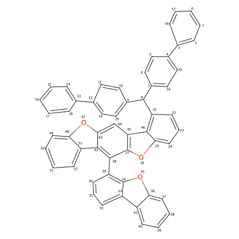 c1ccc(-c2ccc(C(c3ccc(-c4ccccc4)cc3)c3cccc4oc5c(-c6cccc7c6oc6ccccc67)c6c(cc5c34)oc3ccccc36)cc2)cc1